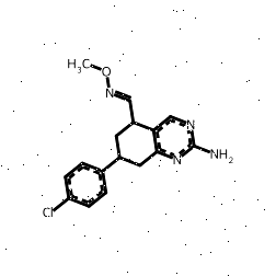 CON=CC1CC(c2ccc(Cl)cc2)Cc2nc(N)ncc21